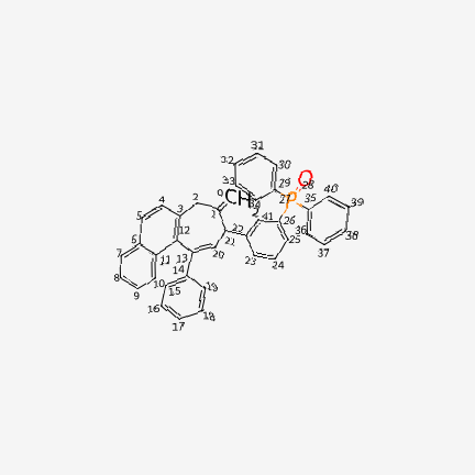 C=C1Cc2ccc3ccccc3c2C(c2ccccc2)=CC1c1cccc(P(=O)(c2ccccc2)c2ccccc2)c1